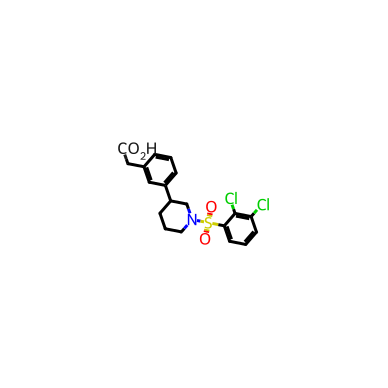 O=C(O)Cc1cccc(C2CCCN(S(=O)(=O)c3cccc(Cl)c3Cl)C2)c1